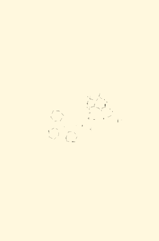 Cc1ccc(C(OC[C@H]2O[C@@H](n3cnc4c(=O)[nH]c(NC(=O)C(C)C)nc43)[C@@H](O)C2O)(c2ccccc2)c2ccc(C)cc2)cc1